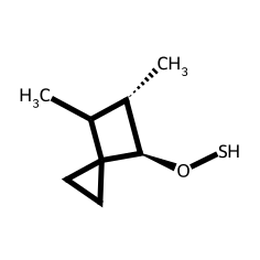 CC1[C@H](C)[C@@H](OS)C12CC2